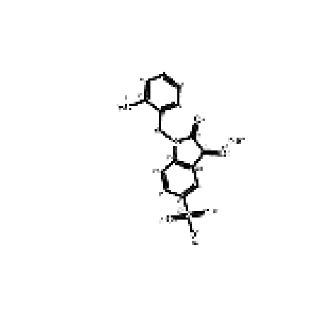 O=C1C(=O)N(Cc2ccccc2O)c2ccc(S(=O)(=O)[O-])cc21.[Na+]